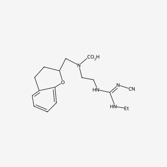 CCNC(=NC#N)NCCN(CC1CCc2ccccc2O1)C(=O)O